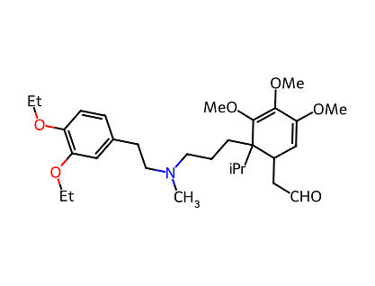 CCOc1ccc(CCN(C)CCCC2(C(C)C)C(OC)=C(OC)C(OC)=CC2CC=O)cc1OCC